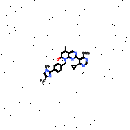 COc1ncnc(C2CC2)c1-c1ncc2c(C)cc(=O)n(Cc3ccc(-c4nc(C(F)(F)F)cn4C(C)C)cc3)c2n1